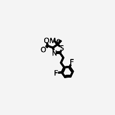 COC(=O)C1N=C(CCc2c(F)cccc2F)SC1(C)C